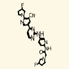 N#Cc1cc(-c2ccnc(Nc3ccc(NC(=O)CN4CCC(F)C4)nc3)n2)cnc1N1CCC(F)C1